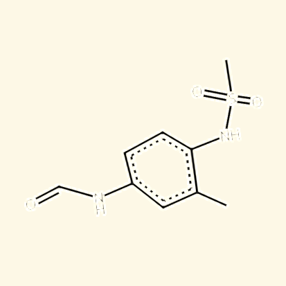 Cc1cc(NC=O)ccc1NS(C)(=O)=O